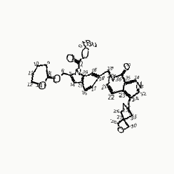 CC(C)(C)OC(=O)n1c(COC2CCCCO2)cc2ccc(Cn3ccc4c(N5CC6(COC6)C5)cncc4c3=O)cc21